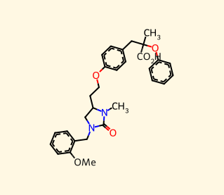 COc1ccccc1CN1CC(CCOc2ccc(CC(C)(Oc3ccccc3)C(=O)O)cc2)N(C)C1=O